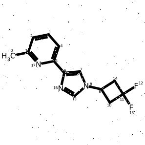 Cc1cccc(-c2cn(C3CC(F)(F)C3)cn2)n1